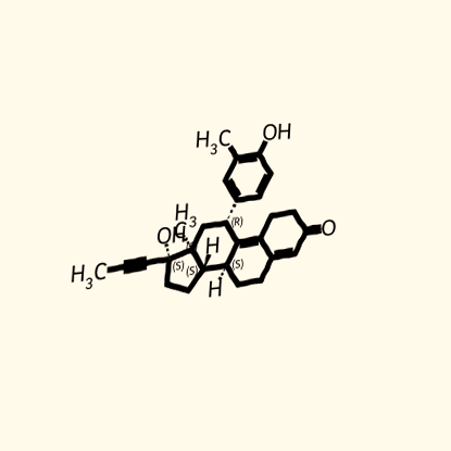 CC#C[C@]1(O)CC[C@H]2[C@@H]3CCC4=CC(=O)CCC4=C3[C@@H](c3ccc(O)c(C)c3)C[C@@]21C